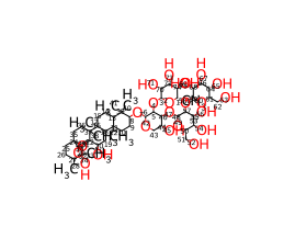 C[C@@H]1O[C@@H](OC2C(O[C@H]3CC[C@@]4(C)C(CC[C@]5(C)C4C[C@@H](O)C4=C6C7(CCC(C)(OC7=O)[C@@]6(C)O)CCC45C)C3(C)C)OC[C@H](O)[C@@H]2OC2O[C@H](CO)C(O)[C@H](O)C2O[C@@H]2OC(CO)[C@@H](O)C(O)[C@H]2O)[C@H](O)[C@H](O)C1O